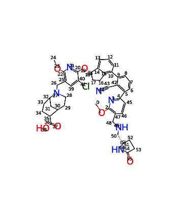 COc1nc(-c2cccc(-c3cccc4c3CC[C@@H]4Oc3nc(OC)c(CN4CCC5CC4CCC5C(=O)O)cc3Cl)c2C#N)ccc1CNC[C@@H]1CCC(=O)N1